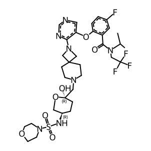 CC(C)N(CC(F)(F)F)C(=O)c1cc(F)ccc1Oc1cncnc1N1CC2(CCN(C[C@@]3(O)CC[C@@H](NS(=O)(=O)N4CCOCC4)CO3)CC2)C1